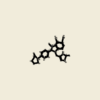 CC1NC(CN2c3ccc(Br)c(Cl)c3N(C)C2c2ccc(N3CCCC3C)nc2)=CO1